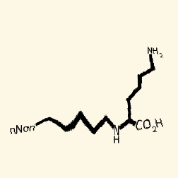 CCCCCCCCCCCCCCNC(CCCCN)C(=O)O